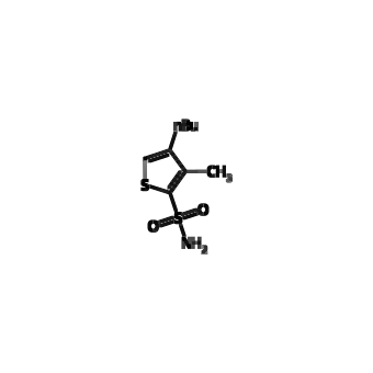 CCCCc1csc(S(N)(=O)=O)c1C